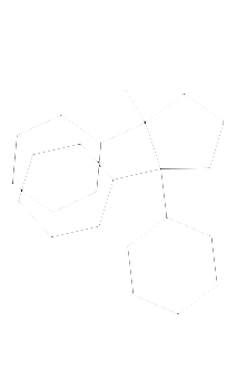 [SiH3]C1(C2CCCCC2)CCCC1(C1CCCCC1)C1CCCCC1